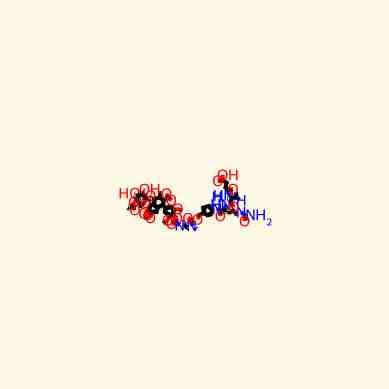 COc1cc([C@@H]2c3cc4c(cc3[C@@H](O[C@@H]3OC5CO[C@@H](C)OC5[C@H](O)[C@H]3O)C3COC(=O)C32)OCO4)cc(OC)c1OC(=O)N(C)CCN(C)C(=O)OCc1ccc(NC(=O)[C@H](CCCNC(N)=O)NC(=O)[C@@H](NC(=O)CCC(=O)O)C(C)C)cc1